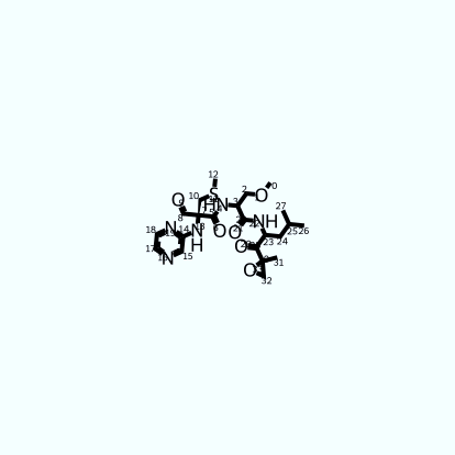 COCC(NC(=O)[C@](C=O)(CSC)Nc1cnccn1)C(=O)NC(CC(C)C)C(=O)C1(C)CO1